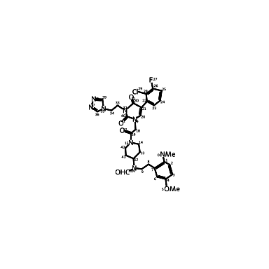 CNc1ccc(OC)cc1CCN(C=O)C1CCN(C(=O)Cn2cc(-c3cccc(F)c3Cl)c(=O)n(CCn3cnnc3)c2=O)CC1